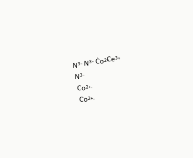 [Ce+3].[Co+2].[Co+2].[Co+2].[N-3].[N-3].[N-3]